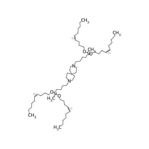 CCCCC/C=C\CCCO[Si](C)(CCCCN1CCC2(CC1)CCN(CCCC[Si](C)(OCCC/C=C\CCCCC)OCCC/C=C\CCCCC)CC2)OCCC/C=C\CCCCC